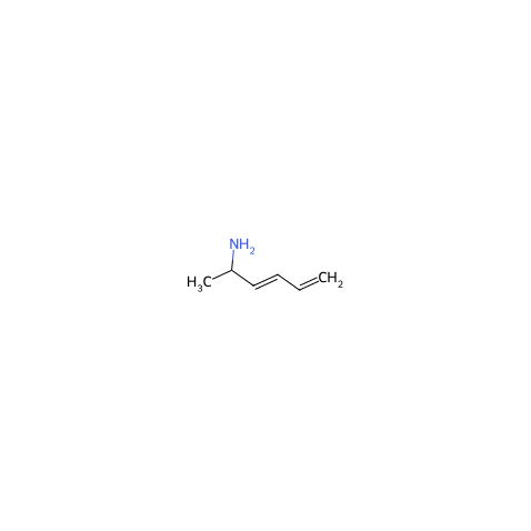 C=CC=CC(C)N